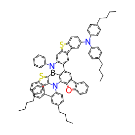 CCCCc1ccc(N(c2ccc(CCCC)cc2)c2ccc3sc4cc5c(cc4c3c2)-c2cc3c(oc4ccccc43)c3c2B(c2sc4ccc(CCCC)cc4c2N3c2ccc(CCCC)cc2-c2ccccc2)N5c2ccccc2)cc1